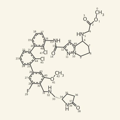 COC(=O)CNC1CCCn2nc(C(=O)Nc3cccc(-c4cccc(-c5cc(F)c(CNC[C@@H]6CCC(=O)N6)c(OC)c5)c4Cl)c3Cl)cc21